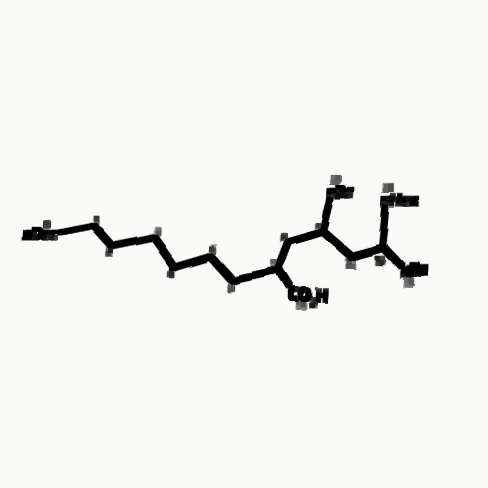 CCCCCCCCCCCCCCCCC(CC(CCCC)CC(CCCC)CCCCCC)C(=O)O